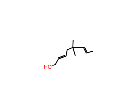 CC=CC(C)(C)CC=CCO